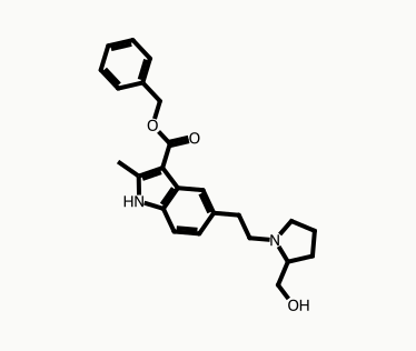 Cc1[nH]c2ccc(CCN3CCCC3CO)cc2c1C(=O)OCc1ccccc1